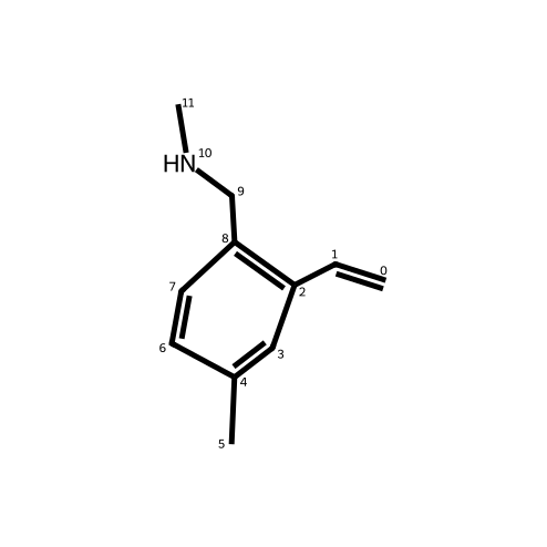 C=Cc1cc(C)ccc1CNC